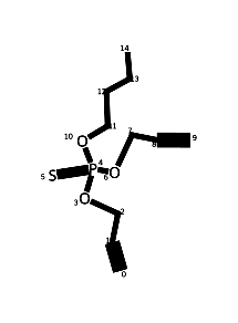 C#CCOP(=S)(OCC#C)OCCCC